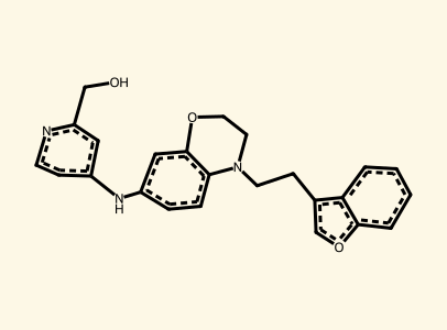 OCc1cc(Nc2ccc3c(c2)OCCN3CCc2coc3ccccc23)ccn1